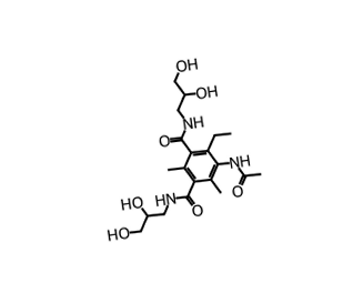 CCc1c(NC(C)=O)c(C)c(C(=O)NCC(O)CO)c(C)c1C(=O)NCC(O)CO